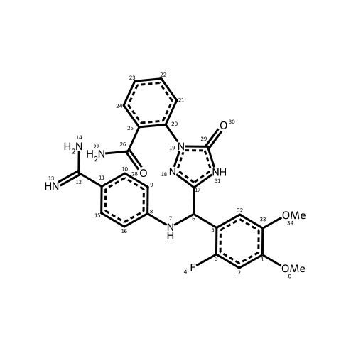 COc1cc(F)c(C(Nc2ccc(C(=N)N)cc2)c2nn(-c3ccccc3C(N)=O)c(=O)[nH]2)cc1OC